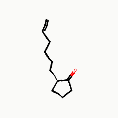 C=CCCCC[C@@H]1CCCC1=O